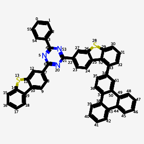 c1ccc(-c2nc(-c3ccc4c(c3)sc3ccccc34)nc(-c3ccc4c(c3)sc3cccc(-c5ccc6c7ccccc7c7ccccc7c6c5)c34)n2)cc1